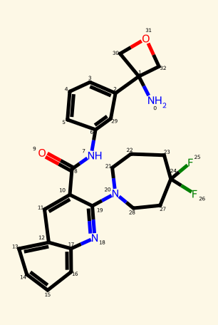 NC1(c2cccc(NC(=O)c3cc4ccccc4nc3N3CCCC(F)(F)CC3)c2)COC1